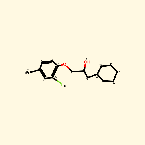 CC(C)c1ccc(OCC(O)CC2CCCCC2)c(F)c1